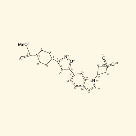 COC(=O)N1CCC(c2noc(-c3ccc4cnn(C5CS(=O)(=O)C5)c4c3)n2)CC1